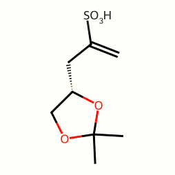 C=C(C[C@H]1COC(C)(C)O1)S(=O)(=O)O